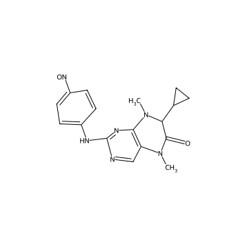 CN1C(=O)C(C2CC2)N(C)c2nc(Nc3ccc(N=O)cc3)ncc21